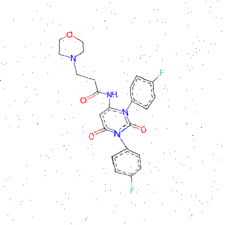 O=C(CCN1CCOCC1)Nc1cc(=O)n(-c2ccc(F)cc2)c(=O)n1-c1ccc(F)cc1